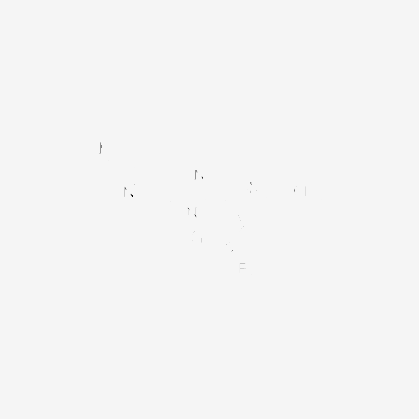 CCSc1cc(C)sc1-c1nc2cc(C(F)(F)F)ncc2n1C